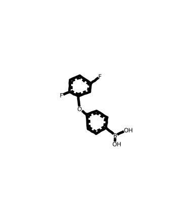 OB(O)c1ccc(Oc2cc(F)ccc2F)cc1